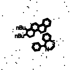 C1=CSc2ccccc2C(c2ccccc2)=N1.CCCCC1=c2ccc3c(c2CCC1CCCC)CC=c1ccccc1=3